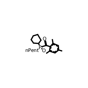 CCCCCP(=O)(C(=O)c1c(C)cc(C)cc1C)C1CCCCC1